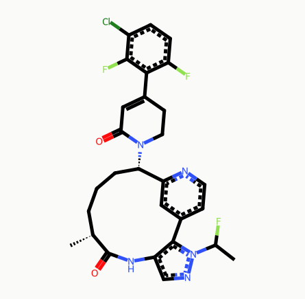 CC(F)n1ncc2c1-c1ccnc(c1)[C@@H](N1CCC(c3c(F)ccc(Cl)c3F)=CC1=O)CCC[C@@H](C)C(=O)N2